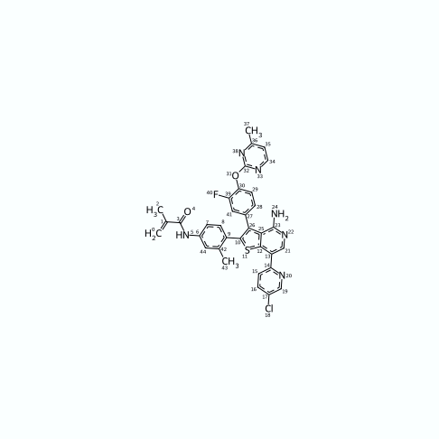 C=C(C)C(=O)Nc1ccc(-c2sc3c(-c4ccc(Cl)cn4)cnc(N)c3c2-c2ccc(Oc3nccc(C)n3)c(F)c2)c(C)c1